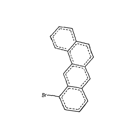 Brc1cccc2cc3ccc4ccccc4c3cc12